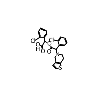 O=C(O)C(OC(=O)C(c1ccccc1Cl)N1CCc2sccc2C1)c1ccccc1Cl